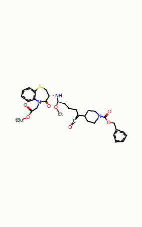 CCO[C@H](CCCC(=C=O)C1CCN(C(=O)OCc2ccccc2)CC1)N[C@H]1CSc2ccccc2N(CC(=O)OC(C)(C)C)C1=O